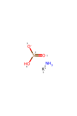 N.O=S([O-])O.[K+]